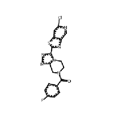 O=C(c1ccc(F)cc1)N1CCn2c(nnc2-c2nc3cnc(Cl)cc3s2)C1